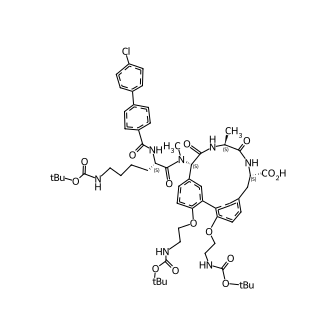 C[C@@H]1NC(=O)[C@@H](N(C)C(=O)[C@H](CCCCNC(=O)OC(C)(C)C)NC(=O)c2ccc(-c3ccc(Cl)cc3)cc2)c2ccc(OCCNC(=O)OC(C)(C)C)c(c2)-c2cc(ccc2OCCNC(=O)OC(C)(C)C)C[C@@H](C(=O)O)NC1=O